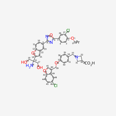 CCCOc1ccc(-c2nc(-c3ccc4oc(C(N)(CO)CO)cc4c3)no2)cc1Cl.O=C(O)C1CN(Cc2ccc(OCc3coc4ccc(Cl)cc34)cc2)C1